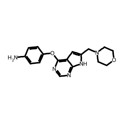 Nc1ccc(Oc2ncnc3[nH]c(CN4CCOCC4)cc23)cc1